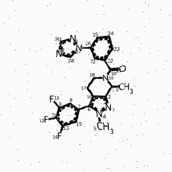 CC1c2nn(C)c(-c3cc(F)c(F)c(F)c3)c2CCN1C(=O)c1cccc(-n2cncn2)c1